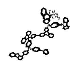 CC1(C)c2ccccc2-c2ccc(N(c3ccc(-n4c5ccccc5c5ccccc54)cc3)c3ccc4c5cc(-c6ccc(C7(c8ccc(N(c9ccc(-c%10ccccc%10)cc9)c9ccc(-c%10cccc%11c%10Cc%10ccccc%10-%11)cc9)cc8)c8ccccc8-c8ccccc87)cc6)ccc5c5ccccc5c4c3)cc21